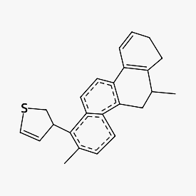 Cc1ccc2c3c(ccc2c1C1C=CSC1)C1=C(CCC=C1)C(C)C3